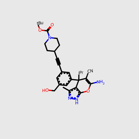 Cc1n[nH]c2c1C(c1cc(C#CC3CCN(C(=O)OC(C)(C)C)CC3)cc(CO)c1)(C(C)C)C(C#N)=C(N)O2